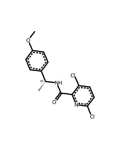 COc1ccc([C@@H](C)NC(=O)c2nc(Cl)ccc2Cl)cc1